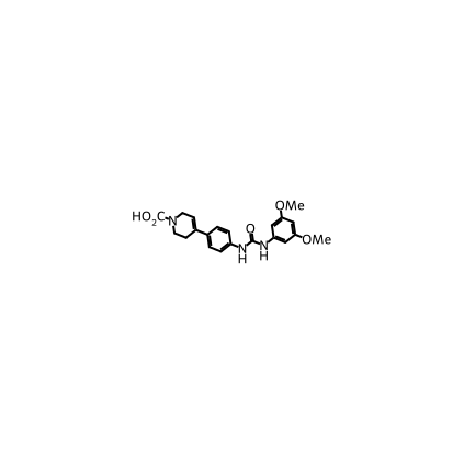 COc1cc(NC(=O)Nc2ccc(C3=CCN(C(=O)O)CC3)cc2)cc(OC)c1